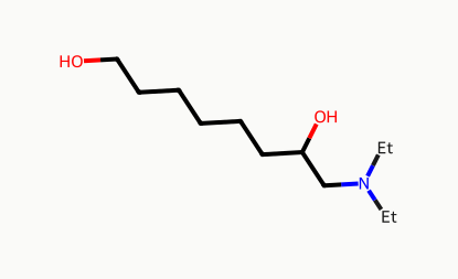 CCN(CC)CC(O)CCCCCCO